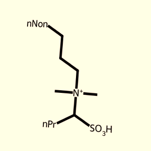 CCCCCCCCCCCC[N+](C)(C)C(CCC)S(=O)(=O)O